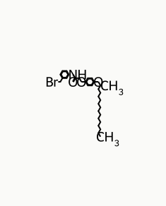 CCCCCCCCCCCCCCC(C)Oc1ccc(OCC(=O)Nc2cccc(CBr)c2)cc1